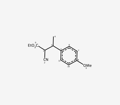 CCOC(=O)C(C#N)C(C)c1ccc(OC)cc1